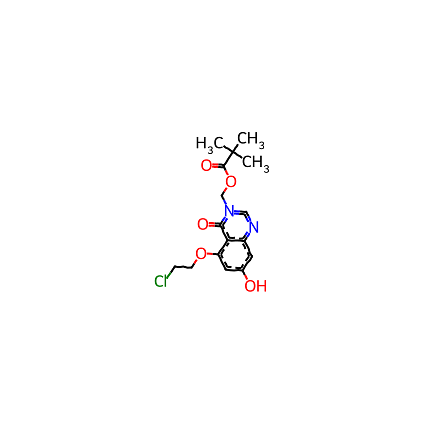 CC(C)(C)C(=O)OCn1cnc2cc(O)cc(OCCCl)c2c1=O